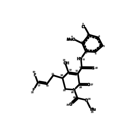 COc1c(Cl)cccc1NC(=S)C1=C(O)C(CC=C(F)F)CN(C(=O)OC(C)(C)C)C1=O